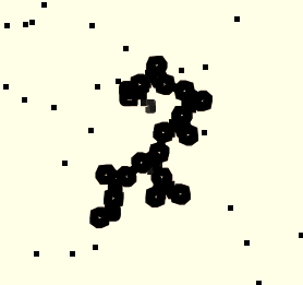 COc1ccc(-n2c3ccccc3c3cc(-c4ccc5c6ccccc6n(-c6ccc7c(c6)c6ccccc6n7-c6cccc(-c7ccc8c(c7)c7ccc(-c9ccc%10c(c9)c9ccccc9n%10-c9ccc(Oc%10ccccc%10)cc9)cc7n8-c7ccc8c(c7)c7ccccc7n8-c7ccccc7)c6)c5c4)ccc32)cc1